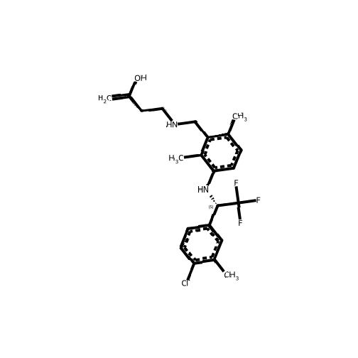 C=C(O)CCNCc1c(C)ccc(N[C@@H](c2ccc(Cl)c(C)c2)C(F)(F)F)c1C